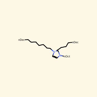 CCCCCCCCCCCCCCCCC[n+]1ccn(CCCCCCCC)c1CCCCCCCCCCCCC